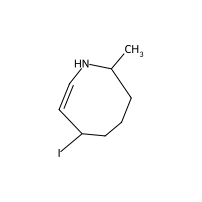 CC1CCCC(I)/C=C\N1